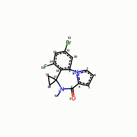 CN1C(=O)c2cccn2-c2cc(Br)cc(F)c2C12CC2